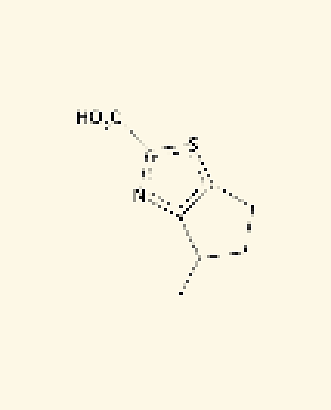 CC1CCc2sc(C(=O)O)nc21